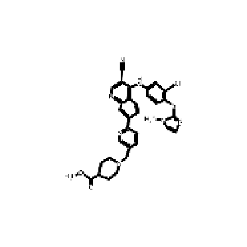 COC(=O)C1CCN(Cc2ccc(-c3ccc4c(Nc5ccc(Sc6nccn6C)c(Cl)c5)c(C#N)cnc4c3)nc2)CC1